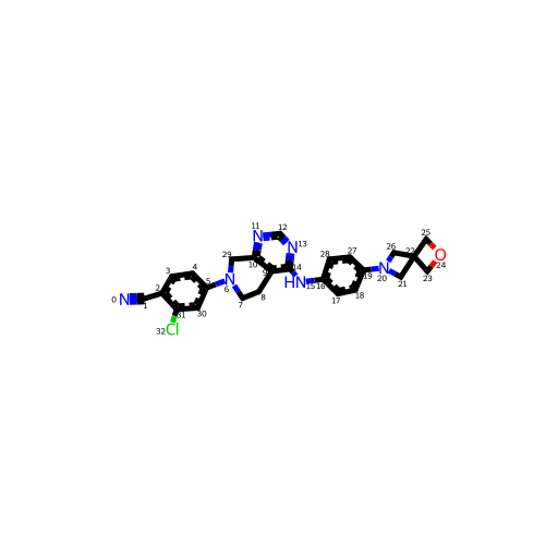 N#Cc1ccc(N2CCc3c(ncnc3Nc3ccc(N4CC5(COC5)C4)cc3)C2)cc1Cl